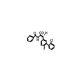 O=C(O)/C(=C/c1ccc(F)c(-c2ccccc2Cl)c1)NC(=O)c1ccccc1